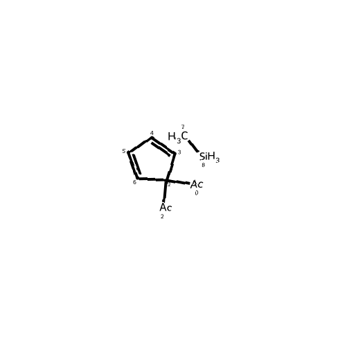 CC(=O)C1(C(C)=O)C=CC=C1.C[SiH3]